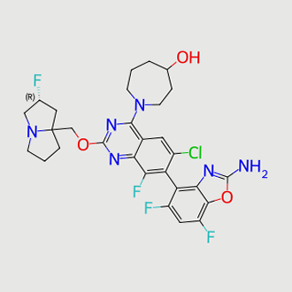 Nc1nc2c(-c3c(Cl)cc4c(N5CCCC(O)CC5)nc(OCC56CCCN5C[C@H](F)C6)nc4c3F)c(F)cc(F)c2o1